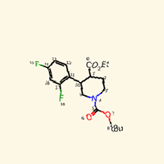 CCOC(=O)C1CCN(C(=O)OC(C)(C)C)CC1c1ccc(F)cc1F